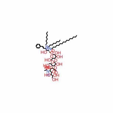 CCCCCCCCCCCCCCCC(=O)N[C@@H](CO[C@@H]1OC(CO)[C@@H](O[C@@H]2OC(CO)[C@H](O)C(O[C@]3(C=O)CC(O)[C@@H](NC(C)=O)C([C@H](O)[C@H](O)CO)O3)C2O)C(O)C1O)[C@H](O)C(/C=C/c1ccccc1)N(CCCCCCCC)CCCCCCCC